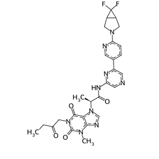 CCC(=O)Cn1c(=O)c2c(ncn2[C@@H](C)C(=O)Nc2cncc(-c3ccc(N4CC5C(C4)C5(F)F)nc3)n2)n(C)c1=O